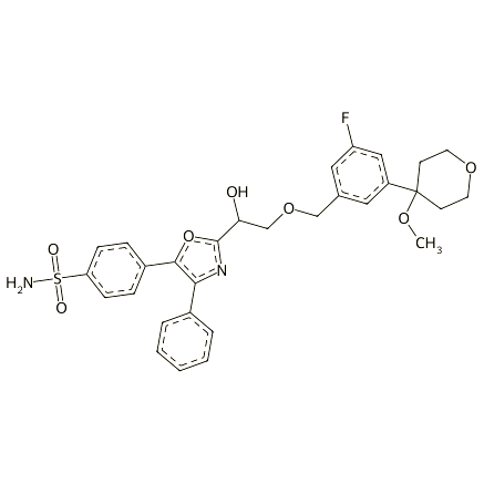 COC1(c2cc(F)cc(COCC(O)c3nc(-c4ccccc4)c(-c4ccc(S(N)(=O)=O)cc4)o3)c2)CCOCC1